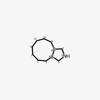 C1CCCB2CNCB2CCC1